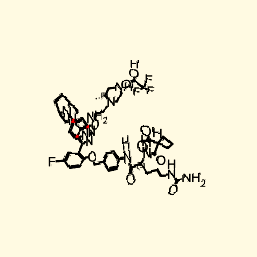 C[C@@H]1CNCCN1CCOc1cc(N2C3CCC2CN(c2cc(-c4cc(F)ccc4OCc4ccc(NC(=O)[C@H](CCCNC(N)=O)NC(=O)C5(C(=O)O)CCC5)cc4)nnc2N)C3)ccn1.O=C(O)C(F)(F)F